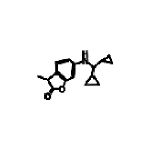 CC1C(=O)Oc2cc(NC(C3CC3)C3CC3)ccc21